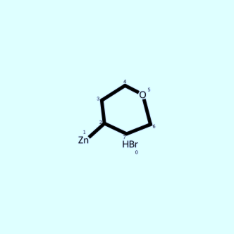 Br.[Zn][CH]1CCOCC1